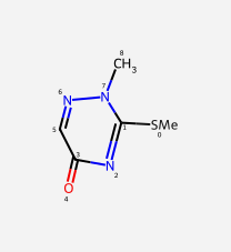 CSc1nc(=O)cnn1C